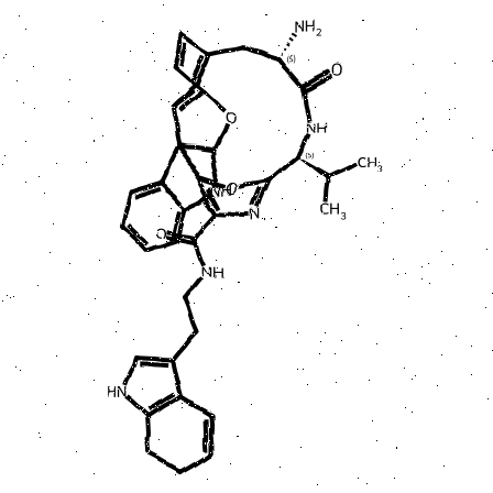 CC(C)[C@@H]1NC(=O)[C@@H](N)Cc2ccc3c(c2)C2(c4ccccc4NC2O3)c2oc1nc2C(=O)NCCc1c[nH]c2c1C=CCC2